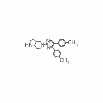 Cc1ccc(-c2cnc(N3CCC4NCCC4C3)nc2-c2ccc(C)cc2)cc1